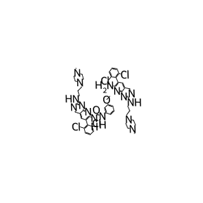 CN1CCN(CCCNc2ncc3cc(-c4c(Cl)cccc4Cl)c(N)nc3n2)CC1.COc1cccc(NC(=O)Nc2nc3nc(NCCCN4CCN(C)CC4)ncc3cc2-c2c(Cl)cccc2Cl)c1